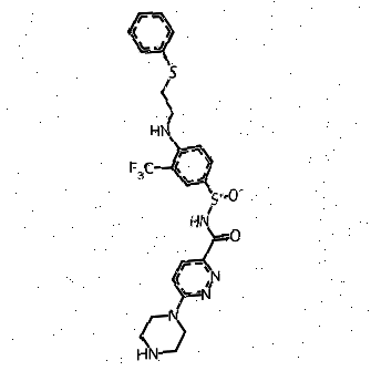 O=C(N[S+]([O-])c1ccc(NCCSc2ccccc2)c(C(F)(F)F)c1)c1ccc(N2CCNCC2)nn1